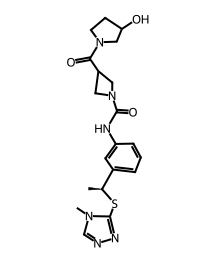 C[C@H](Sc1nncn1C)c1cccc(NC(=O)N2CC(C(=O)N3CCC(O)C3)C2)c1